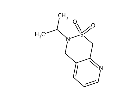 CC(C)N1Cc2cccnc2CS1(=O)=O